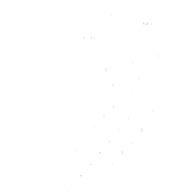 Nc1c(F)c(N)c(F)c(OC(F)=C(F)C(F)(F)C(F)(F)C(F)(F)C(F)(F)C(F)(F)C(F)(F)C(F)(F)F)c1F